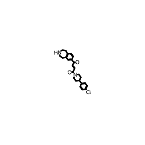 O=C(/C=C/C(=O)N1CCC(c2ccc(Cl)cc2)CC1)c1ccc2c(c1)CCNCC2